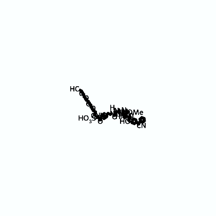 C#CCOCCOCCOCCOCCC(=O)N[C@@H](CS(=O)(=O)O)C(=O)N1CCN(CCNC(=O)c2ncn(-c3ncc(OC)c4c(C(=O)C(O)N5CCC(=C(C#N)c6ccccc6)CC5)c[nH]c34)n2)CC1